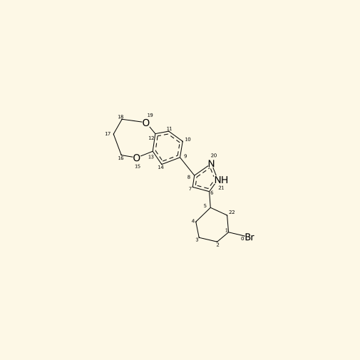 BrC1CCCC(c2cc(-c3ccc4c(c3)OCCCO4)n[nH]2)C1